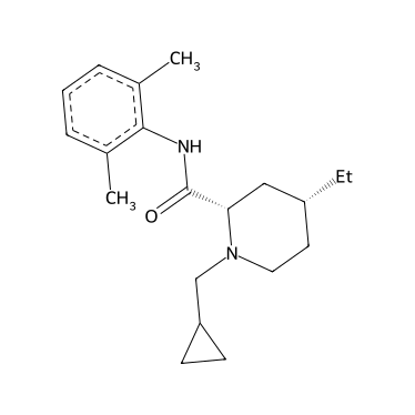 CC[C@@H]1CCN(CC2CC2)[C@H](C(=O)Nc2c(C)cccc2C)C1